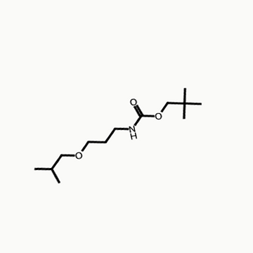 CC(C)COCCCNC(=O)OCC(C)(C)C